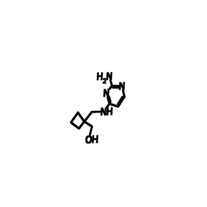 Nc1nccc(NCC2(CO)CCC2)n1